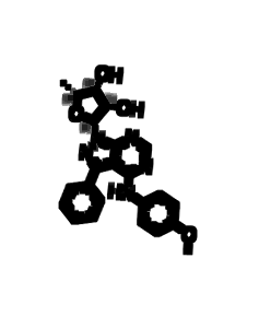 COc1ccc(Nc2ncnc3c2c(-c2ccccc2)nn3[C@@H]2O[C@H](C)[C@H](O)[C@@H]2O)cc1